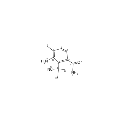 Cc1ccc(C(N)=O)c(C(C)(C)C#N)c1N